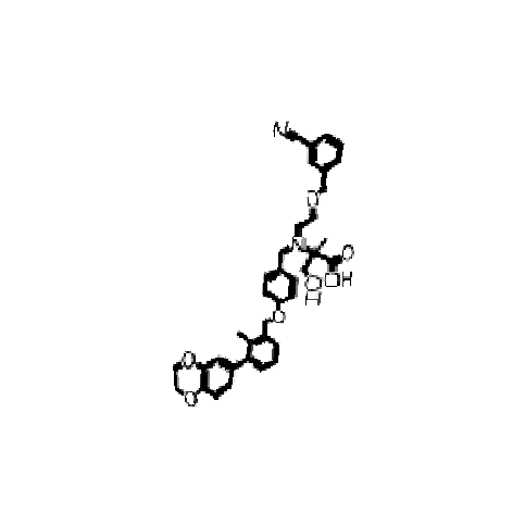 Cc1c(COc2ccc(CN(CCOCc3cccc(C#N)c3)[C@@](C)(CO)C(=O)O)cc2)cccc1-c1ccc2c(c1)OCCO2